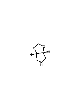 C1O[C@H]2CNC[C@H]2O1